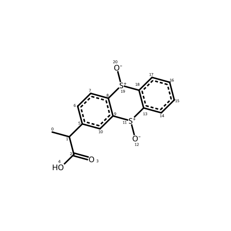 CC(C(=O)O)c1ccc2c(c1)[S+]([O-])c1ccccc1[S+]2[O-]